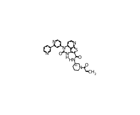 C=CC(=O)N1CCC[C@@H](NC(=O)c2sc3nccc4c3c2NC(=O)N4c2ccnc(-c3cccnc3)c2)C1